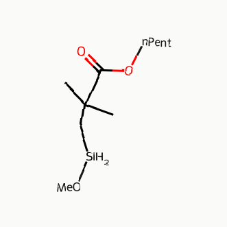 CCCCCOC(=O)C(C)(C)C[SiH2]OC